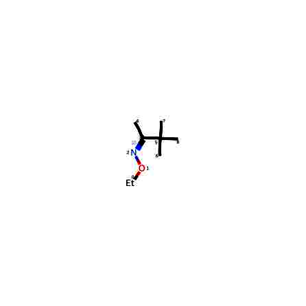 CCO/N=C(/C)C(C)(C)C